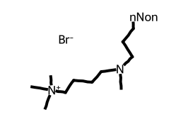 CCCCCCCCCCCCN(C)CCCC[N+](C)(C)C.[Br-]